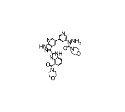 NN(C(=O)N1CCOCC1)c1cncc(-c2cnc3[nH]nc(-c4nc5c(C(=O)N6CCOCC6)cccc5[nH]4)c3c2)c1